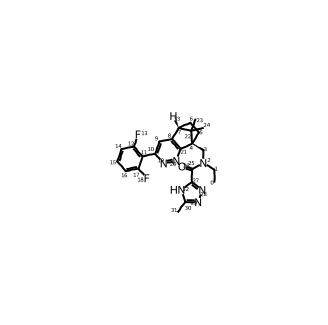 CCN(C[C@@]12CC[C@@H](c3cc(-c4c(F)cccc4F)nnc31)C2(C)C)C(=O)c1nnc(C)[nH]1